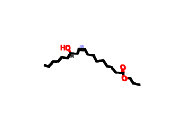 CCCCCC[C@@H](O)C/C=C\CCCCCCCC(=O)OCCC